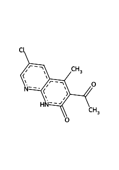 CC(=O)c1c(C)c2cc(Cl)cnc2[nH]c1=O